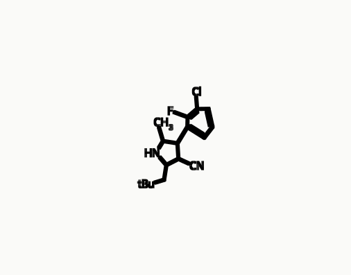 CC1NC(CC(C)(C)C)C(C#N)C1c1cccc(Cl)c1F